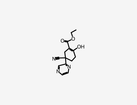 CCOC(=O)C1=C(O)CCC(C#N)(c2cnccn2)C1